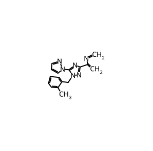 C=NC(=C)c1nc(-n2cccn2)n(Cc2ccccc2C)n1